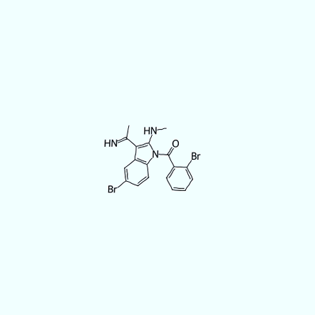 CNc1c(C(C)=N)c2cc(Br)ccc2n1C(=O)c1ccccc1Br